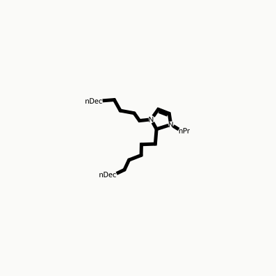 CCCCCCCCCCCCCCCC1N(CCC)C=CN1CCCCCCCCCCCCCC